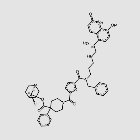 O=C(c1ccc(C(=O)N(CCCNC[C@H](O)c2ccc(O)c3[nH]c(=O)ccc23)Cc2ccccc2)s1)N1CCC(C(=O)O[C@H]2CN3CCC2CC3)(c2ccccc2)CC1